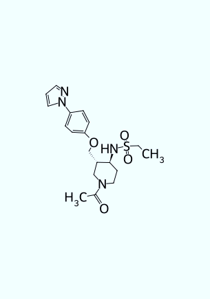 CCS(=O)(=O)N[C@H]1CCN(C(C)=O)C[C@@H]1COc1ccc(-n2cccn2)cc1